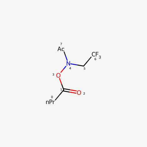 CCCC(=O)ON(CC(F)(F)F)C(C)=O